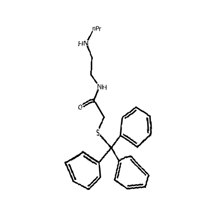 CCCNCCNC(=O)CSC(c1ccccc1)(c1ccccc1)c1ccccc1